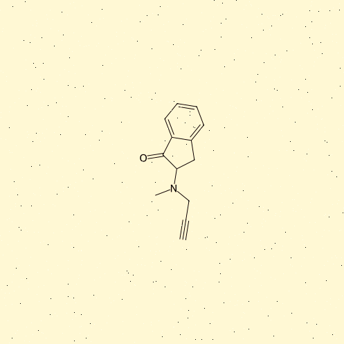 C#CCN(C)C1Cc2ccccc2C1=O